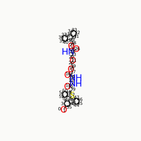 COc1ccc(C(SCCC(=O)NCNC(=O)COCCOCCNC(=O)OCC2c3ccccc3-c3ccccc32)(c2ccccc2)c2ccccc2)cc1